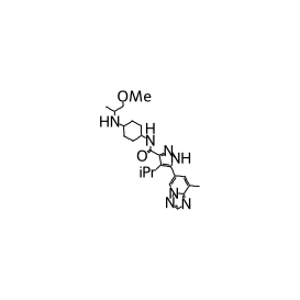 COCC(C)NC1CCC(NC(=O)c2n[nH]c(-c3cc(C)c4ncnn4c3)c2C(C)C)CC1